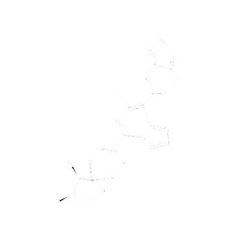 Cc1nc(N2CCC3(CC2)CO[C@@H](C)[C@H]3N)n2ccnc2c1-c1ccc2c[nH]nc2c1